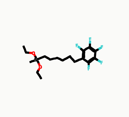 CCO[Si](C)(CCCCCCc1c(F)c(F)c(F)c(F)c1F)OCC